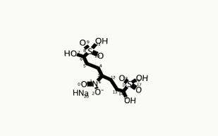 O=[N+]([O-])C(CCC(O)S(=O)(=O)O)CCC(O)S(=O)(=O)O.[NaH]